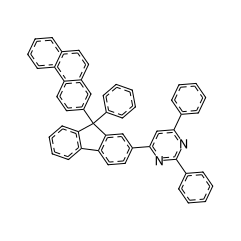 c1ccc(-c2cc(-c3ccc4c(c3)C(c3ccccc3)(c3ccc5c(ccc6ccccc65)c3)c3ccccc3-4)nc(-c3ccccc3)n2)cc1